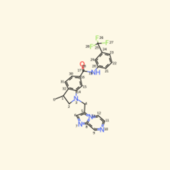 CC1CN(Cc2cnc3cnccn23)c2cc(C(=O)Nc3cccc(C(F)(F)F)c3)ccc21